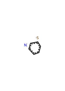 [N].[S].c1ccccc1